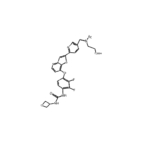 COCCN(Cc1ccc(-c2cc3nccc(Oc4ccc(NC(=O)NC5COC5)c(F)c4F)c3s2)nc1)C(C)=O